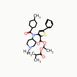 CC1CCC(C(=O)N(c2cc(-c3ccccc3)sc2C(=O)OC(C)OC(=O)C(C)C)C2CCN(C)CC2)CC1